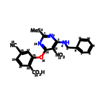 CSc1nc(NCc2ccccc2)c([N+](=O)[O-])c(Oc2cc(C#N)ccc2C(=O)O)n1